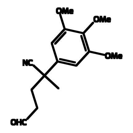 COc1cc(C(C)(C#N)CCC=O)cc(OC)c1OC